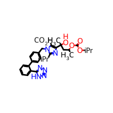 CCCc1nc(C(C)(O)CC(C)OC(=O)OC(C)C)c(C(=O)O)n1Cc1ccc(-c2ccccc2-c2nnn[nH]2)cc1